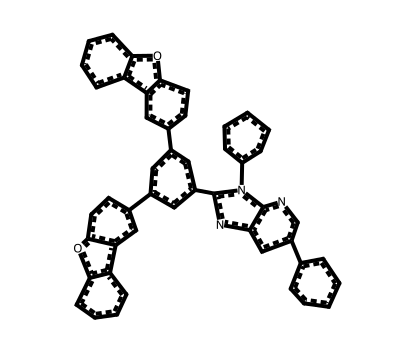 c1ccc(-c2cnc3c(c2)nc(-c2cc(-c4ccc5oc6ccccc6c5c4)cc(-c4ccc5oc6ccccc6c5c4)c2)n3-c2ccccc2)cc1